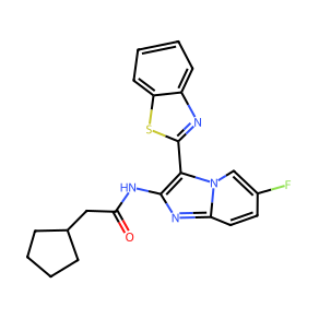 O=C(CC1CCCC1)Nc1nc2ccc(F)cn2c1-c1nc2ccccc2s1